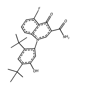 CC(C)(C)c1cc(C(C)(C)C)c(-n2cc(C(N)=O)c(=O)c3c(F)cccc32)cc1O